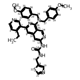 CCc1ccncc1-c1cc2cc(NC(=O)NCc3cncs3)ncc2c(N(Cc2ccc(OC)cc2)Cc2ccc(OC)cc2)n1